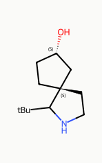 CC(C)(C)C1NCC[C@]12CC[C@H](O)C2